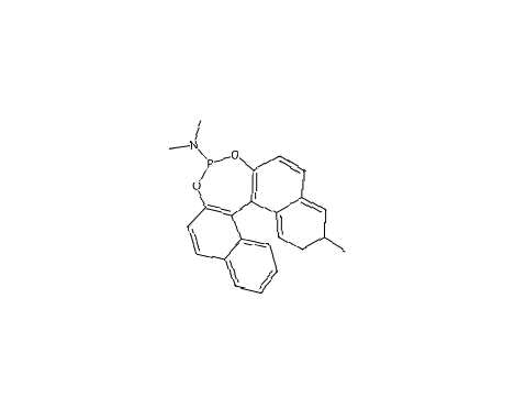 CC1C=c2ccc3op(N(C)C)oc4ccc5ccccc5c4c3c2=CC1